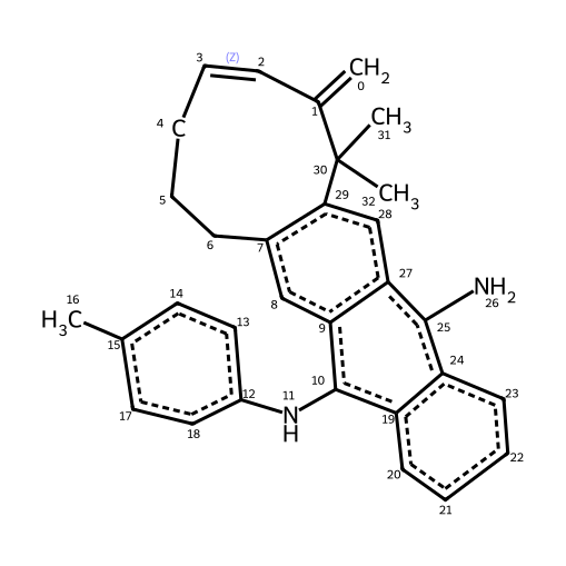 C=C1/C=C\CCCc2cc3c(Nc4ccc(C)cc4)c4ccccc4c(N)c3cc2C1(C)C